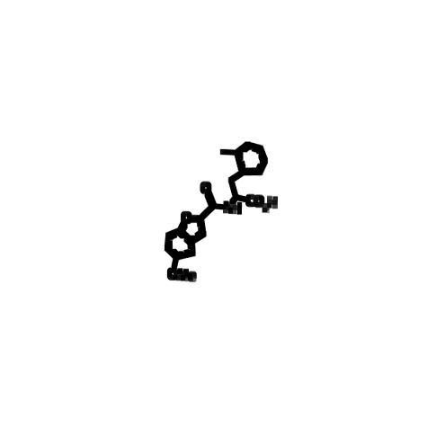 COc1ccc2oc(C(=O)NC(Cc3ccccc3C)C(=O)O)cc2c1